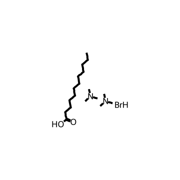 Br.CCCCCCCCCCCC(=O)O.CN(C)C.CN(C)C